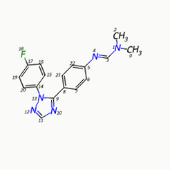 CN(C)C=Nc1ccc(-c2ncnn2-c2ccc(F)cc2)cc1